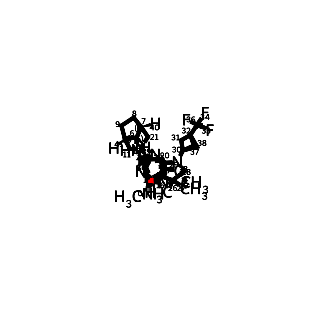 CNc1nc(N[C@@H]2[C@@H]3CC[C@H]2CN(c2cnnc(OC)c2)C3)nc2c1C(C)(C)CN2C12CC(C(F)(F)F)(C1)C2